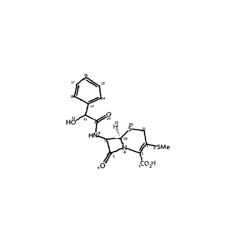 CSC1=C(C(=O)O)N2C(=O)[C@@H](NC(=O)C(O)c3ccccc3)[C@H]2SC1